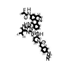 C=C(F)C(=O)Nc1ccc2c(-c3ccccc3CNc3nc(NC[C@H]4CCN(C(=O)Cc5ccc(N=[N+]=[N-])cc5)C[C@@H]4O)nc4c(C(C)C)cnn34)nccc2c1